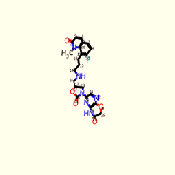 Cn1c(=O)ccc2ccc(F)c(CCCNC[C@H]3CN(c4cnc5c(n4)NC(=O)CO5)C(=O)O3)c21